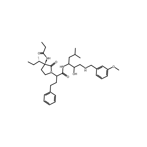 CCC(=O)N[C@]1([C@@H](C)CC)CCN(C(CCc2ccccc2)C(=O)NC(CC(C)C)C(O)CNCc2cccc(OC)c2)C1=O